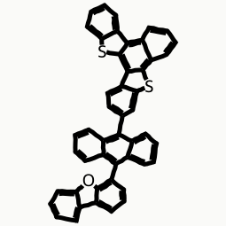 c1ccc2c(c1)oc1c(-c3c4ccccc4c(-c4ccc5c(c4)sc4c6ccccc6c6c7ccccc7sc6c54)c4ccccc34)cccc12